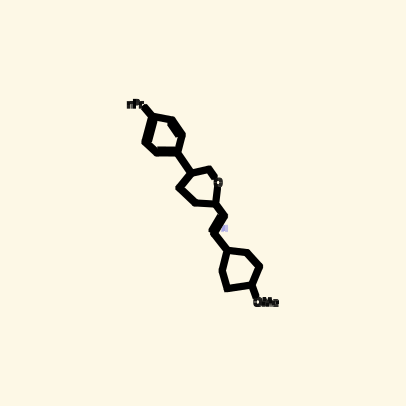 CCCc1ccc(C2CCC(/C=C/C3CCC(OC)CC3)OC2)cc1